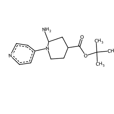 CC(C)(C)OC(=O)C1CCN(c2ccncc2)C(N)C1